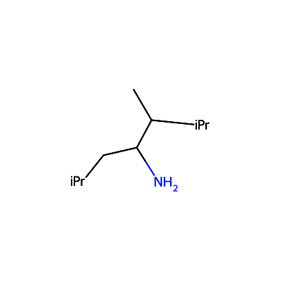 CC(C)CC(N)C(C)C(C)C